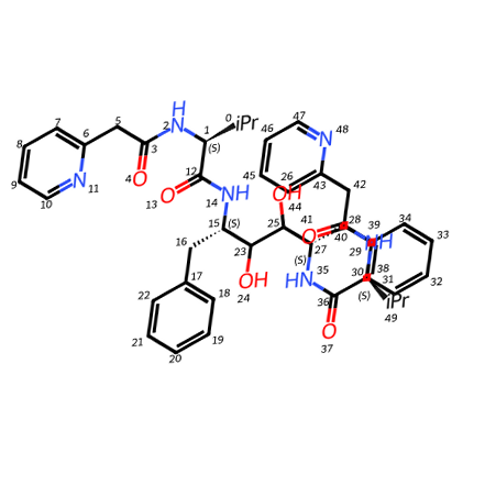 CC(C)[C@H](NC(=O)Cc1ccccn1)C(=O)N[C@@H](Cc1ccccc1)C(O)C(O)[C@H](Cc1ccccc1)NC(=O)[C@@H](NC(=O)Cc1ccccn1)C(C)C